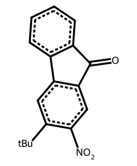 CC(C)(C)c1cc2c(cc1[N+](=O)[O-])C(=O)c1ccccc1-2